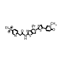 CCS(=O)(=O)c1ccc(CC(=O)Nc2nc3c(s2)CN(c2ncc(-c4ccc(=O)n(C)c4)s2)[C@H]3C(C)C)nc1